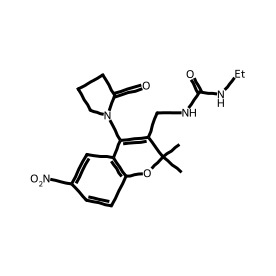 CCNC(=O)NCC1=C(N2CCCC2=O)c2cc([N+](=O)[O-])ccc2OC1(C)C